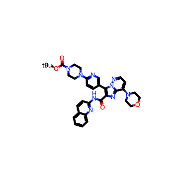 CC(C)(C)OC(=O)N1CCN(c2ccc(-c3c(C(=O)Nc4ccc5ccccc5n4)nc4c(N5CCOCC5)ccnn34)cn2)CC1